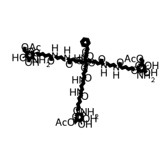 CC(=O)OCC1O[C@@H](OCCCCC(=O)NCCCNC(=O)CCOCC(COCCC(=O)NCCCNC(=O)CCCCO[C@@H]2OC(COC(C)=O)[C@H](O)C(O)[C@@H]2N)(COCCC(=O)NCCCNC(=O)CCCCO[C@@H]2OC(COC(C)=O)[C@H](O)C(O)[C@@H]2N)NC(=O)OCc2ccccc2)[C@@H](N)C(O)[C@H]1O